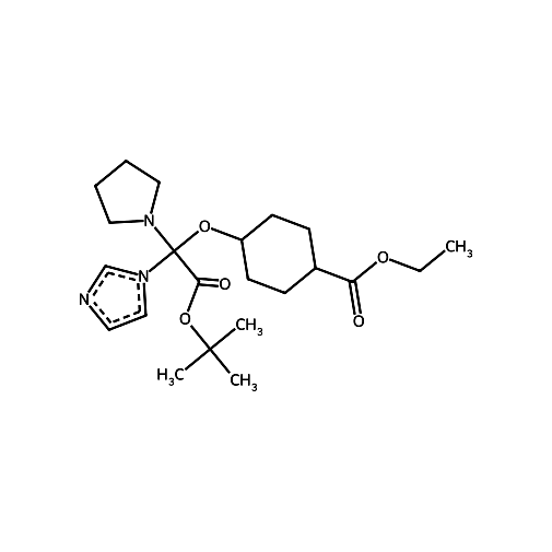 CCOC(=O)C1CCC(OC(C(=O)OC(C)(C)C)(N2CCCC2)n2ccnc2)CC1